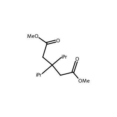 COC(=O)CC(CC(=O)OC)(C(C)C)C(C)C